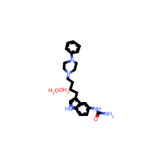 NC(=O)Nc1ccc2[nH]cc(CCCCN3CCN(c4ccccc4)CC3)c2c1.O.O